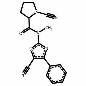 CN(C(=O)C1CCCN1C#N)c1nc(-c2ccccc2)c(C#N)s1